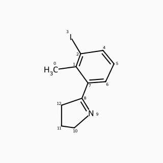 Cc1c(I)cccc1C1=NCCC1